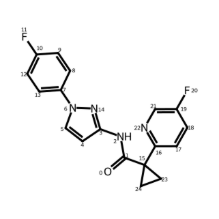 O=C(Nc1ccn(-c2ccc(F)cc2)n1)C1(c2ccc(F)cn2)CC1